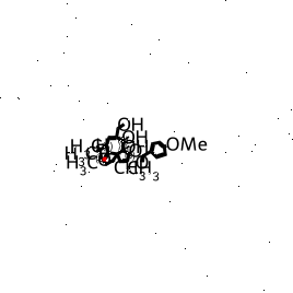 COc1ccc(C(=O)O[C@H]2C(C)=CC34C(=O)[C@@H](C=C(CO)[C@@H](O)[C@]23O)C(C)(C)[C@@H](C)CC4C)cc1